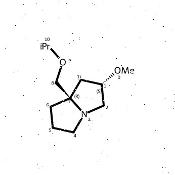 CO[C@@H]1CN2CCC[C@]2(COC(C)C)C1